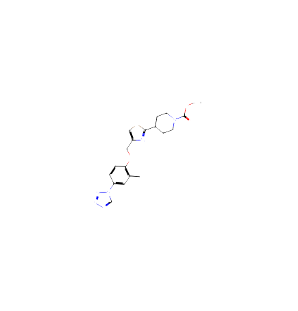 Cc1cc(-n2cnnn2)ccc1OCc1csc(C2CCN(C(=O)OC(C)(C)C)CC2)n1